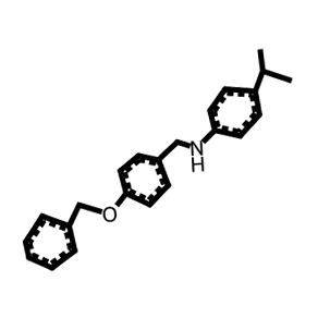 CC(C)c1ccc(NCc2ccc(OCc3ccccc3)cc2)cc1